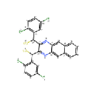 SC(c1cc(Cl)ccc1Cl)c1nc2cc3ccccc3cc2nc1C(S)c1cc(Cl)ccc1Cl